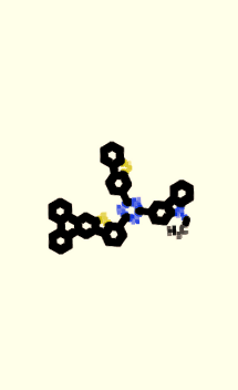 CCn1c2ccccc2c2cc(-c3nc(-c4ccc5c(c4)sc4ccccc45)nc(-c4cccc5c4sc4cc6c7ccccc7c7ccccc7c6cc45)n3)ccc21